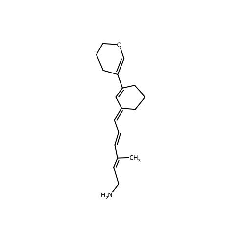 CC(/C=C/C=C1/C=C(C2=COCCC2)CCC1)=C\CN